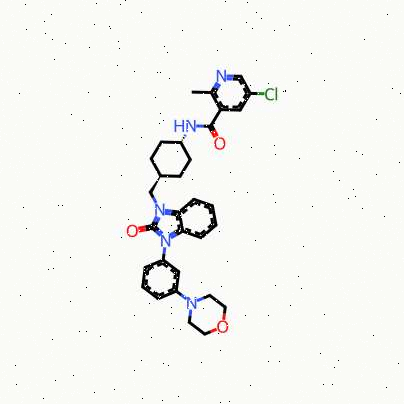 Cc1ncc(Cl)cc1C(=O)N[C@H]1CC[C@H](Cn2c(=O)n(-c3cccc(N4CCOCC4)c3)c3ccccc32)CC1